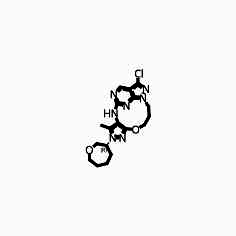 Cc1c2c(nn1[C@@H]1CCCCOC1)OCCCn1nc(Cl)c3cnc(nc31)N2